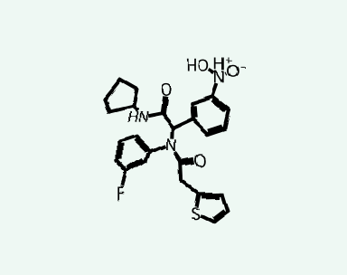 O=C(NC1CCCC1)C(c1cccc([NH+]([O-])O)c1)N(C(=O)Cc1cccs1)c1cccc(F)c1